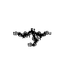 CCC(COCCC(=O)NC(C)(C)CCOC(C)(C)C)(COCCC(=O)NC(C)(C)CCOC(C)(C)C)COCCC(=O)NC(C)(C)CCOC(C)(C)C